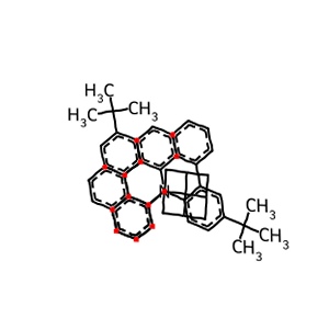 CC(C)(C)c1ccc(-c2ccccc2N(c2ccc(C(C)(C)C)cc2-c2ccccc2)c2ccccc2-c2cccc3cccc(C45CC6CC7CC(C4)C765)c23)cc1